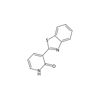 O=c1[nH]cccc1-c1nc2ccccc2s1